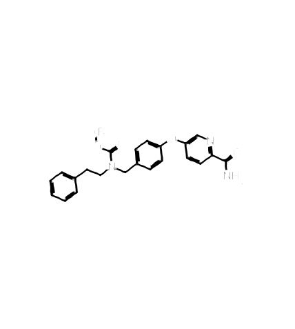 CC(C)(C)OC(=O)N(CCc1ccccc1)Cc1ccc(Oc2ccc(C(N)=O)nc2)cc1